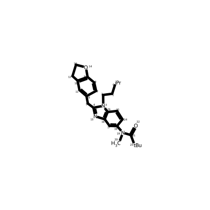 CC(C)CCn1c(Cc2ccc3c(c2)CCO3)nc2cc(N(C)C(=O)C(C)(C)C)ccc21